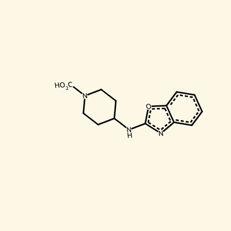 O=C(O)N1CCC(Nc2nc3ccccc3o2)CC1